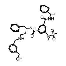 C[C@@H](NC(=O)c1cc(C(=O)N[C@H](CCNCc2cccc(CO)c2)Cc2ccccc2)cc(N(C)S(C)(=O)=O)c1)c1ccccc1